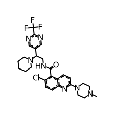 CN1CCN(c2ccc3c(C(=O)NCC(c4cnc(C(F)(F)F)nc4)N4CCCCC4)c(Cl)ccc3n2)CC1